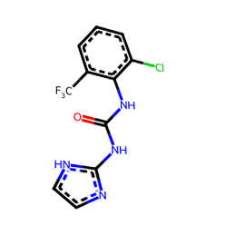 O=C(Nc1ncc[nH]1)Nc1c(Cl)cccc1C(F)(F)F